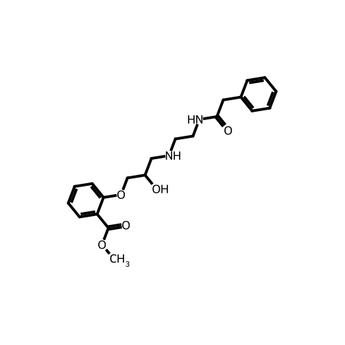 COC(=O)c1ccccc1OCC(O)CNCCNC(=O)Cc1ccccc1